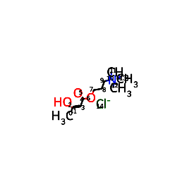 CC(O)=CC(=O)OCCC[N+](C)(C)C.[Cl-]